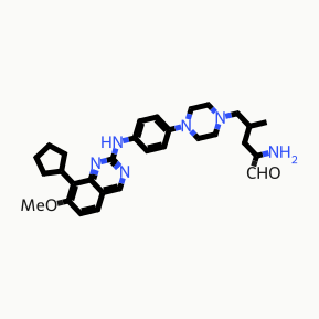 COc1ccc2cnc(Nc3ccc(N4CCN(CC(C)CC(N)C=O)CC4)cc3)nc2c1C1CCCC1